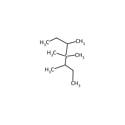 CCC(C)S(C)(C)C(C)CC